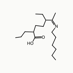 CCCCCCN=C(C)C(CC)CCC(CCC)C(=O)O